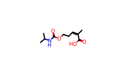 CC(=CCCOC(=O)NC(C)C)C(=O)O